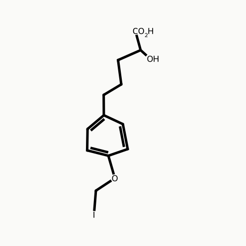 O=C(O)C(O)CCCc1ccc(OCI)cc1